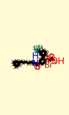 O=C(O)COc1c(Br)cc(C(=O)NCCCCCCc2ccccc2)cc1-c1cccc(C(F)(F)F)c1